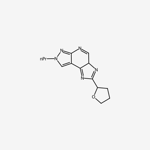 CCCn1cc2c(n1)N=CC1N=C(C3CCCO3)N=C21